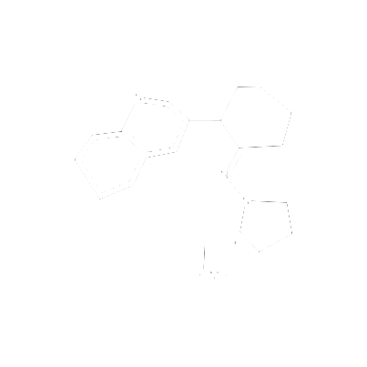 COC[C@H]1CCCN1N=C1CCCCC1c1cnc2ccccc2c1